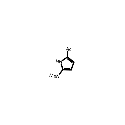 CNc1ccc(C(C)=O)[nH]1